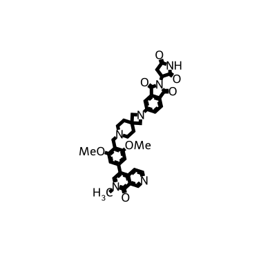 COc1cc(-c2cn(C)c(=O)c3cnccc23)cc(OC)c1CN1CCC2(CC1)CN(c1ccc3c(c1)C(=O)N(C1CC(=O)NC1=O)C3=O)C2